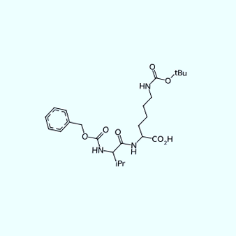 CC(C)C(NC(=O)OCc1ccccc1)C(=O)NC(CCCCNC(=O)OC(C)(C)C)C(=O)O